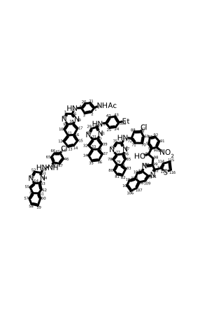 CC(=O)Nc1ccc(Nc2cnc3cc4ccccc4cc3n2)cc1.CCc1ccc(Nc2cnc3cc4ccccc4cc3n2)cc1.Clc1ccc(NNc2cnc3cc4ccccc4cc3n2)cc1.Clc1cccc(Nc2cnc3cc4ccccc4cc3n2)c1.O=[N+]([O-])c1ccccc1C(O)Cc1nc2cc3ccccc3cc2nc1-c1cccs1